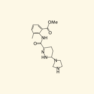 COC(=O)c1cccc(C)c1NC(=O)C1=NNC(N2CCNC2)CC1